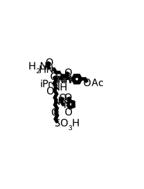 CC(=O)OCc1ccc(NC(=O)[C@H](CCCNC(N)=O)NC(=O)[C@@H](NC(=O)CCN(CCOCCS(=O)(=O)O)C(=O)CN2C(=O)C=CC2=O)C(C)C)cc1